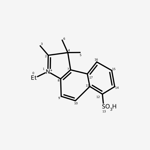 CC[N+]1=C(C)C(C)(C)c2c1ccc1c(S(=O)(=O)O)cccc21